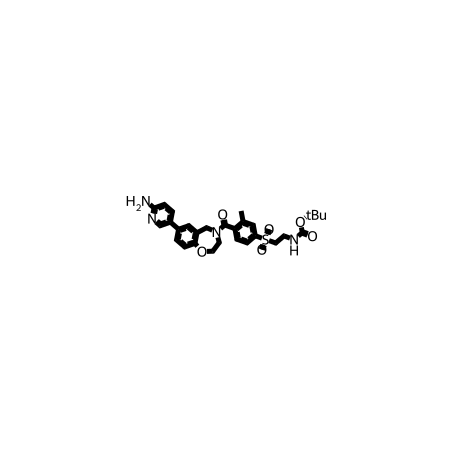 Cc1cc(S(=O)(=O)CCNC(=O)OC(C)(C)C)ccc1C(=O)N1CCOc2ccc(-c3ccc(N)nc3)cc2C1